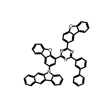 c1ccc(-c2cccc(-c3nc(-c4ccc5oc6ccccc6c5c4)nc(-c4cc(-n5c6ccccc6c6cc7ccccc7cc65)cc5c4oc4ccccc45)n3)c2)cc1